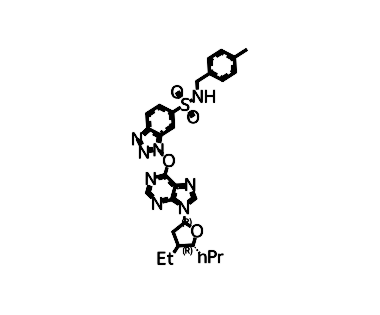 CCC[C@H]1O[C@@H](n2cnc3c(On4nnc5ccc(S(=O)(=O)NCc6ccc(C)cc6)cc54)ncnc32)CC1CC